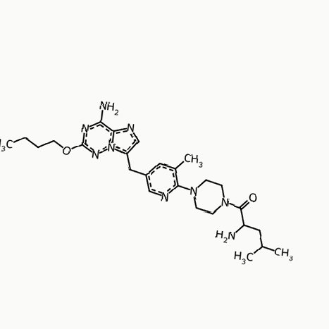 CCCCOc1nc(N)c2ncc(Cc3cnc(N4CCN(C(=O)C(N)CC(C)C)CC4)c(C)c3)n2n1